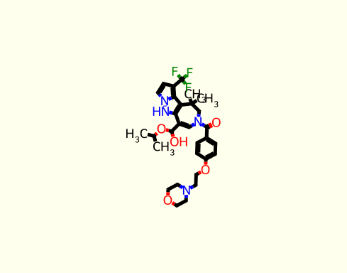 CC(C)OC(O)C1=CN(C(=O)c2ccc(OCCN3CCOCC3)cc2)CC(C)(C)c2c1[nH]n1ccc(C(F)(F)F)c21